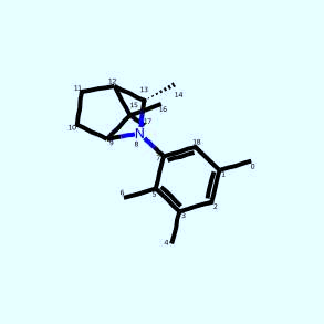 Cc1cc(C)c(C)c(N2C3CCC([C@@H]2C)C3(C)C)c1